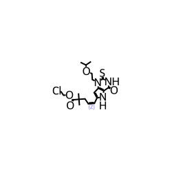 CC(C)OCCn1c(=S)[nH]c(=O)c2[nH]c(/C=C\CC(C)(C)C(=O)OCCl)cc21